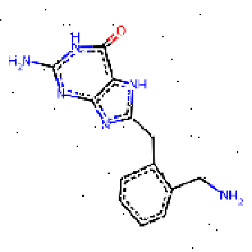 NCc1ccccc1Cc1nc2nc(N)[nH]c(=O)c2[nH]1